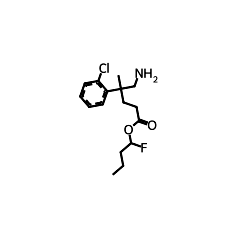 CCCC(F)OC(=O)CCC(C)(CN)c1ccccc1Cl